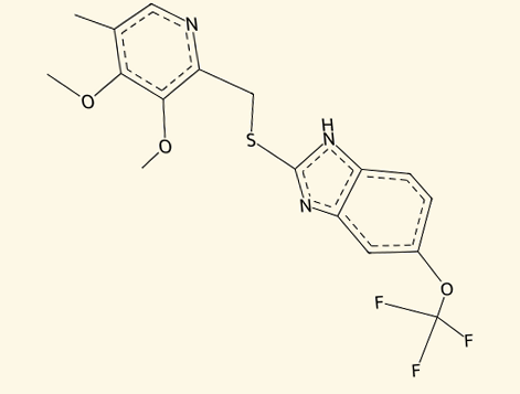 COc1c(C)cnc(CSc2nc3cc(OC(F)(F)F)ccc3[nH]2)c1OC